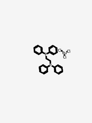 [Cl][Ru]([Cl])[Cl].c1ccc(P(CCP(c2ccccc2)c2ccccc2)c2ccccc2)cc1